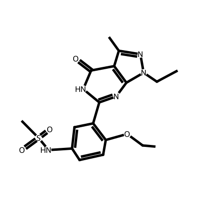 CCOc1ccc(NS(C)(=O)=O)cc1-c1nc2c(c(C)nn2CC)c(=O)[nH]1